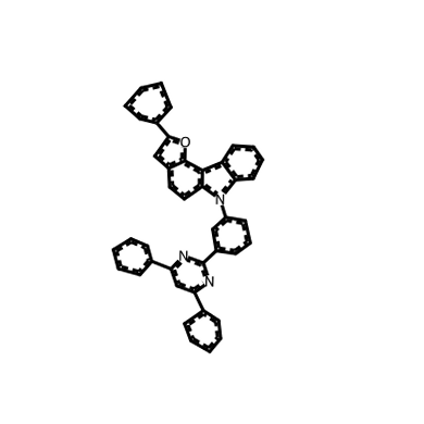 c1ccc(-c2cc(-c3ccccc3)nc(-c3cccc(-n4c5ccccc5c5c6oc(-c7ccccc7)cc6ccc54)c3)n2)cc1